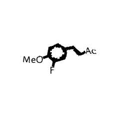 COc1ccc(C=CC(C)=O)cc1F